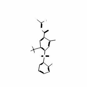 Cc1cc(S(=O)(=O)c2ccccc2Cl)c(C(F)(F)F)cc1C(=O)N=C(N)N